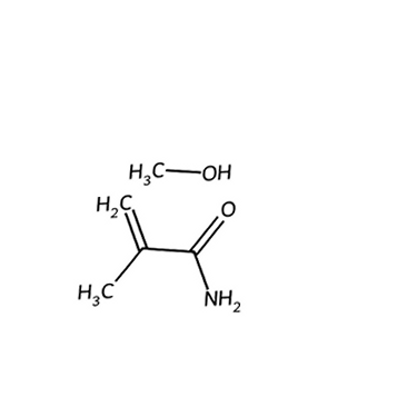 C=C(C)C(N)=O.CO